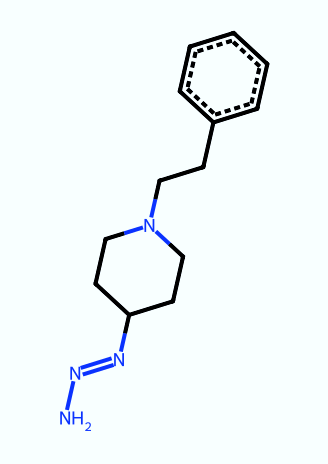 NN=NC1CCN(CCc2ccccc2)CC1